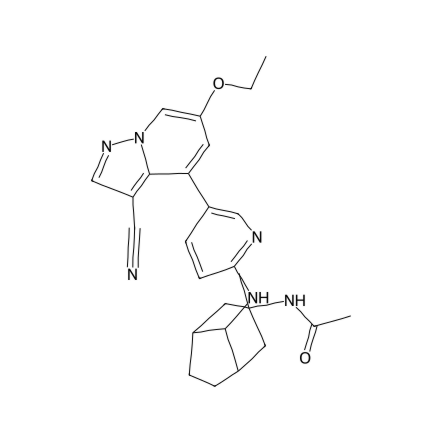 CCOc1cc(-c2ccc(NC3C4CCC3CC(C)(NC(C)=O)C4)nc2)c2c(C#N)cnn2c1